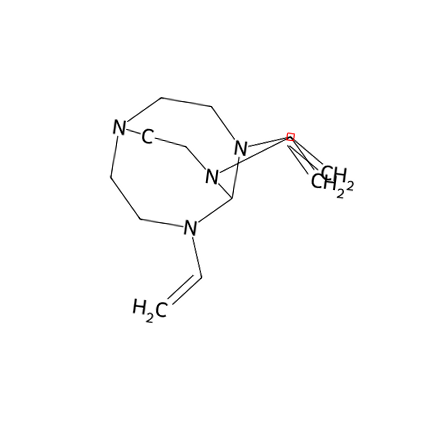 C=CN1CCN2CCN(C=C)C1N(C=C)CC2